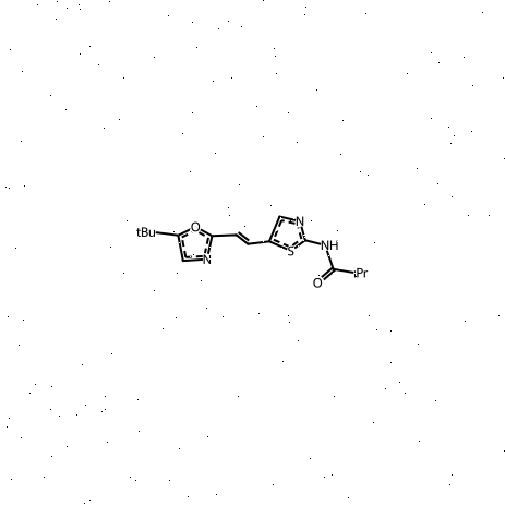 CC(C)C(=O)Nc1ncc(C=Cc2ncc(C(C)(C)C)o2)s1